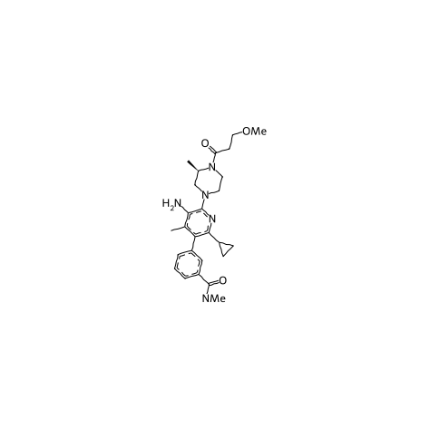 CNC(=O)c1cccc(-c2c(C3CC3)nc(N3CCN(C(=O)CCOC)[C@H](C)C3)c(N)c2C)c1